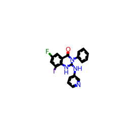 O=C1c2cc(F)cc(I)c2NC(Nc2cccnc2)N1c1ccccc1